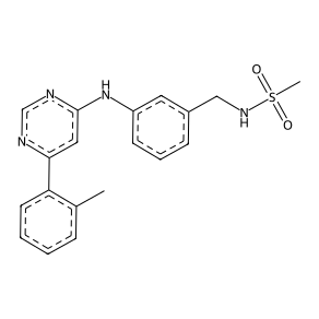 Cc1ccccc1-c1cc(Nc2cccc(CNS(C)(=O)=O)c2)ncn1